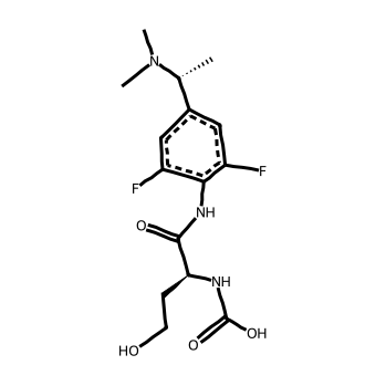 C[C@H](c1cc(F)c(NC(=O)[C@H](CCO)NC(=O)O)c(F)c1)N(C)C